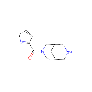 O=C(C1=NCC=C1)N1CC2CNCC(C2)C1